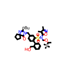 CCCCC1=NC2(CCCC2)C(=O)N1Cc1ccc(-c2ccccc2CO)c(S(=O)(=O)N(COC(C)[Si](C)(C)C)c2onc(C)c2C)c1